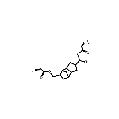 C=CC(=O)OCC1CC2CC1C1CC(C(C)OC(=O)C=C)CC21